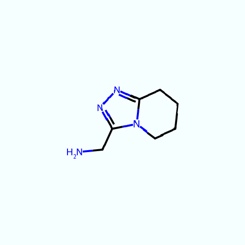 NCc1nnc2n1CCCC2